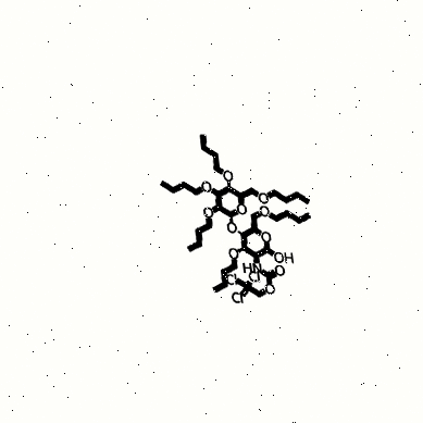 CCCCOCC1O[C@@H](O[C@@H]2C(COCCCC)OC(O)C(NC(=O)OCC(Cl)(Cl)Cl)[C@H]2OCCCC)C(OCCCC)C(OCCCC)[C@H]1OCCCC